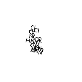 CC(=O)NCC1(NC(=O)c2cc3c(Cl)c(Cl)ccc3n2C)CCCN(S(=O)(=O)Nc2ncccn2)C1